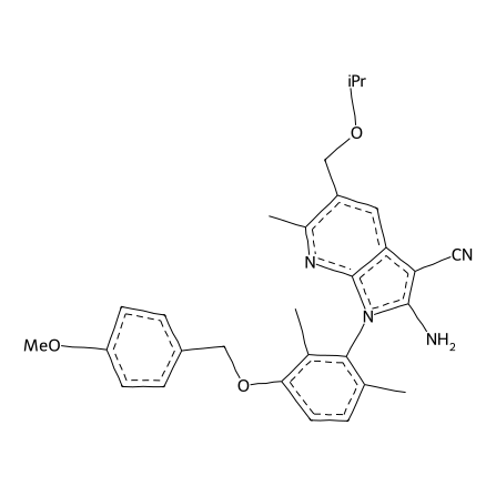 COc1ccc(COc2ccc(C)c(-n3c(N)c(C#N)c4cc(COC(C)C)c(C)nc43)c2C)cc1